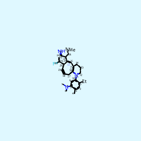 CCc1cc(C)c(N(C)C)cc1N1CCCC2=C1CC#CC(C(C)F)/C(C(C=N)CNC)=C\2